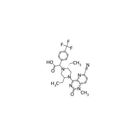 CCC1CN(C(C(=O)O)c2ccc(C(F)(F)F)cc2)[C@H](CC)CN1c1nc(=O)n(C)c2ccc(C#N)nc12